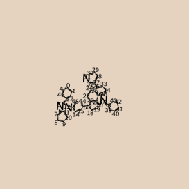 c1ccc(-c2nc3ccccc3n2-c2ccc(-c3ccc4c5c3ccc3c(-c6cccnc6)ccc(c35)n4-c3ccccc3)cc2)cc1